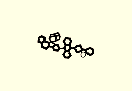 c1ccc2c3c(ccc2c1)-c1ccc(-c2c4ccccc4c(-c4ccc5c(c4)oc4ccccc45)c4ccccc24)cc1C31C2CC3CC(C2)CC1C3